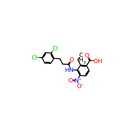 CCc1c(C(=O)O)ccc([N+](=O)[O-])c1NC(=O)CCc1ccc(Cl)cc1Cl